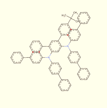 C[Si](C)(C)c1ccc(-c2cc(-c3ccccc3)c(N(c3ccc(-c4ccccc4)cc3)c3ccc(-c4ccccc4)cc3)cc2N(c2ccc(-c3ccccc3)cc2)c2ccc(-c3ccccc3)cc2)cc1